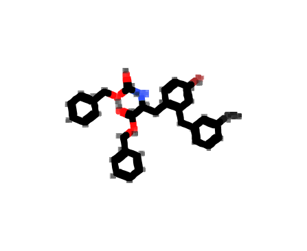 COc1cccc(Cc2cc(Br)ccc2CC(NC(=O)OCc2ccccc2)C(=O)OCc2ccccc2)c1